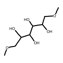 COCC(O)C(O)C(O)C(O)COC